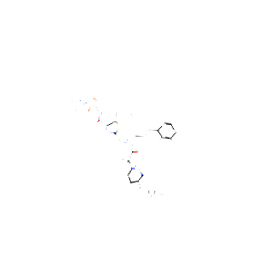 COc1ccc([C@@H](O)C(=O)N(CCCc2cccc(C)c2F)Cc2nc(C(=O)NS(N)(=O)=O)c(C)s2)nc1